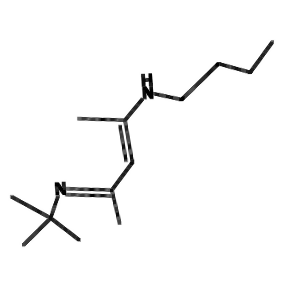 CCCCNC(C)=CC(C)=NC(C)(C)C